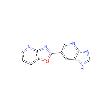 c1cnc2nc(-c3cnc4nc[nH]c4c3)oc2c1